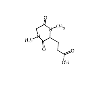 CN1CC(=O)N(C)C(CCC(=O)O)C1=O